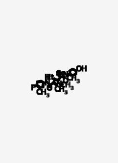 CCc1c(C(=O)Nc2ccc(F)c(C)c2)c(C)n(C)c1C(=O)C(=O)N[C@]1(C)CC[C@H](O)CC1